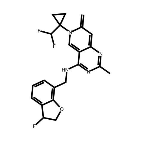 C=C1C=c2nc(C)nc(NCc3cccc4c3OCC4F)c2=CN1C1(C(F)F)CC1